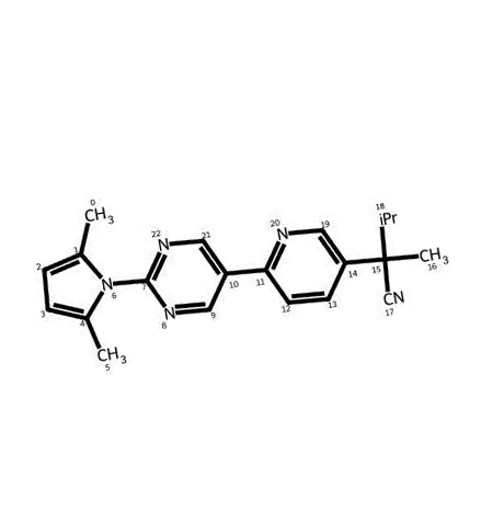 Cc1ccc(C)n1-c1ncc(-c2ccc(C(C)(C#N)C(C)C)cn2)cn1